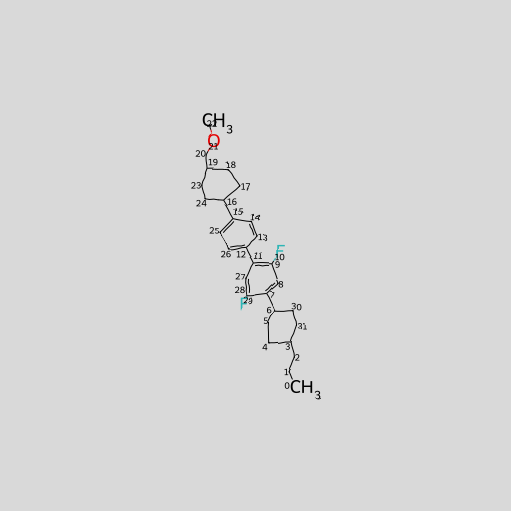 CCCC1CCC(c2cc(F)c(-c3ccc(C4CCC(COC)CC4)cc3)cc2F)CC1